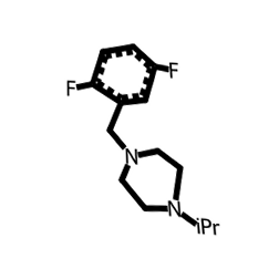 CC(C)N1CCN(Cc2cc(F)ccc2F)CC1